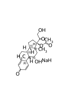 CC(=O)O[C@]1(C(=O)CO)CC[C@H]2[C@@H]3CCC4=CC(=O)C=C[C@]4(C)[C@H]3[C@@H](O)C[C@@]21C.[NaH]